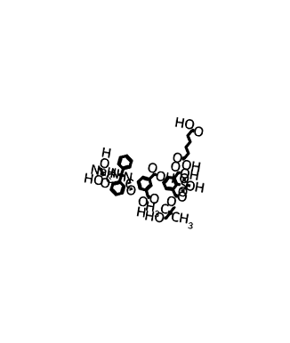 CC(C)(CO)COC(=O)c1cccc(C(=O)O)c1S(=O)(=O)O.O=C(O)CCCCC(=O)O.O=C(O)c1cccc(C(=O)O)c1.O=C=NC(N=C=O)(c1ccccc1)c1ccccc1.OCCO.[NaH]